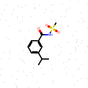 CC(C)c1cccc(C(=O)NS(C)(=O)=O)c1